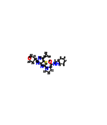 O=C(NCc1ccccc1)[C@H]1CCCN1c1nc2nc(C3CCOCC3)nc(C3CC3)c2s1